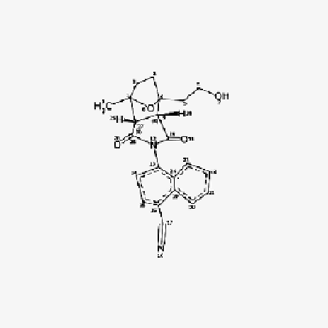 CC12CCC(CCO)(O1)[C@@H]1C(=O)N(c3ccc(C#N)c4ccccc34)C(=O)[C@@H]12